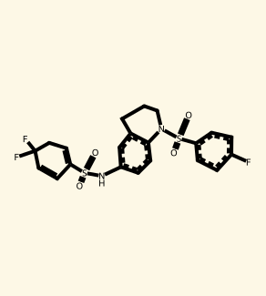 O=S(=O)(Nc1ccc2c(c1)CCCN2S(=O)(=O)c1ccc(F)cc1)C1=CCC(F)(F)C=C1